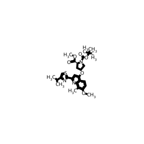 COC(=O)[C@@H]1C[C@@H](Oc2cc(-c3nc(C(C)C)cs3)nc3c(C)c(OC)ccc23)CN1C(=O)OC(C)(C)C